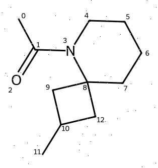 CC(=O)N1CCCCC12CC(C)C2